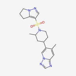 Cc1cc2ncnn2cc1C1CCN(S(=O)(=O)c2cnn3c2CCC3)C(C)C1